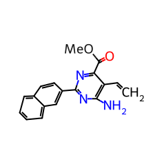 C=Cc1c(N)nc(-c2ccc3ccccc3c2)nc1C(=O)OC